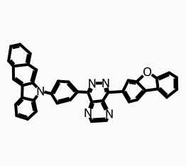 c1ccc2cc3c(cc2c1)c1ccccc1n3-c1ccc(-c2nnc(-c3ccc4c(c3)oc3ccccc34)c3nccnc23)cc1